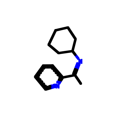 CC(=NC1CCCCC1)c1ccccn1